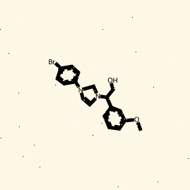 COc1cccc(C(CO)N2C=CN(c3ccc(Br)cc3)C2)c1